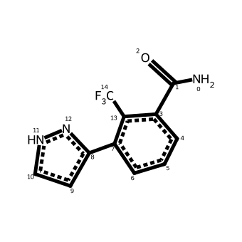 NC(=O)c1cccc(-c2cc[nH]n2)c1C(F)(F)F